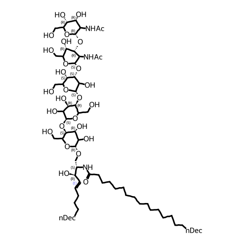 CCCCCCCCCCCCC/C=C/[C@@H](O)[C@H](CO[C@@H]1OC(CO)[C@@H](O[C@@H]2OC(CO)[C@H](O[C@@H]3OC(CO)[C@H](O)[C@H](O[C@@H]4OC(CO)[C@H](O)[C@H](O[C@@H]5OC(CO)[C@H](O)[C@H](O)C5NC(C)=O)C4NC(C)=O)C3O)[C@H](O)C2O)[C@H](O)C1O)NC(=O)CCCCCCCCCCCCCCCCCCCCCCCCC